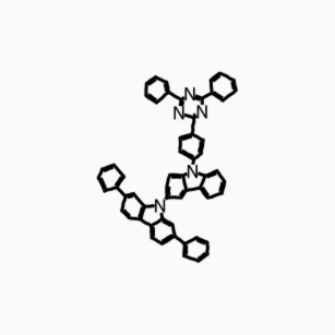 c1ccc(-c2ccc3c4ccc(-c5ccccc5)cc4n(-c4ccc5c(c4)c4ccccc4n5-c4ccc(-c5nc(-c6ccccc6)nc(-c6ccccc6)n5)cc4)c3c2)cc1